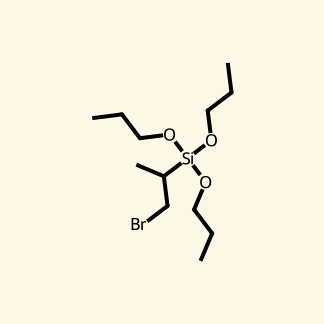 CCCO[Si](OCCC)(OCCC)C(C)CBr